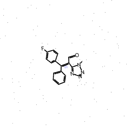 Cn1nnnc1/C(C=O)=C(\c1ccccc1)c1ccc(F)cc1